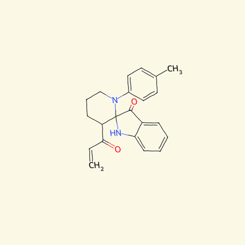 C=CC(=O)C1CCCN(c2ccc(C)cc2)C12Nc1ccccc1C2=O